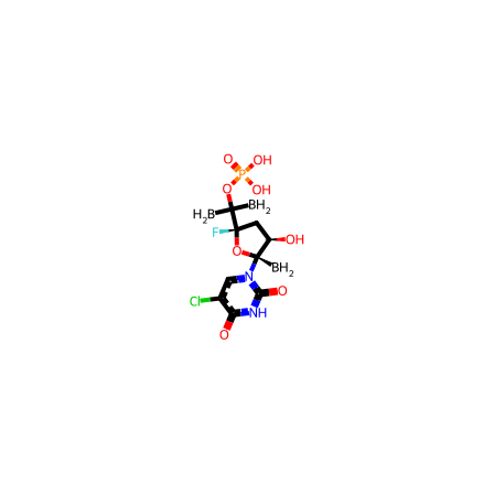 BC(B)(OP(=O)(O)O)[C@]1(F)C[C@@H](O)[C@](B)(n2cc(Cl)c(=O)[nH]c2=O)O1